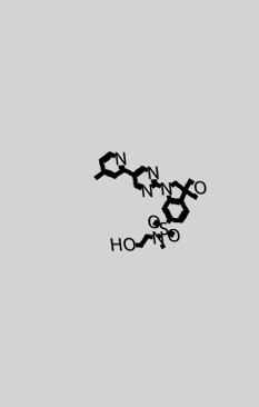 Cc1ccnc(-c2cnc(N3CC4(COC4)c4ccc(S(=O)(=O)N(C)CCO)cc43)nc2)c1